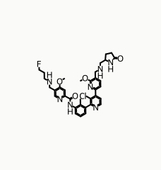 COc1cc(C(=O)Nc2cccc(-c3nccc(-c4ccc(CNCC5CCC(=O)N5)c(OC)n4)c3Cl)c2C)ncc1CNCCCF